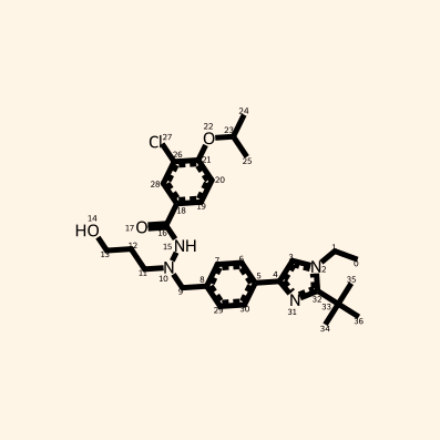 CCn1cc(-c2ccc(CN(CCCO)NC(=O)c3ccc(OC(C)C)c(Cl)c3)cc2)nc1C(C)(C)C